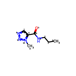 CCCNC(=O)c1cnnn1C